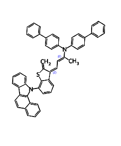 C=c1sc2c(-n3c4ccccc4c4ccc5ccccc5c43)cccc2/c1=C/C=C(\C)N(c1ccc(-c2ccccc2)cc1)c1ccc(-c2ccccc2)cc1